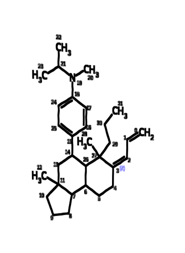 C=C/C=C1/CCC2C3CCCC3(C)CC(c3ccc(N(C)C(C)C)cc3)C2C1(C)CCC